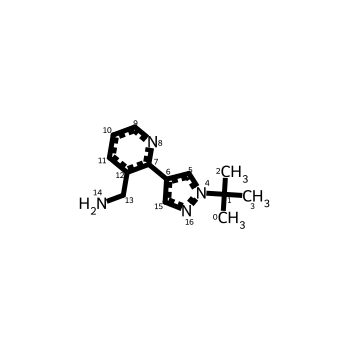 CC(C)(C)n1cc(-c2ncccc2CN)cn1